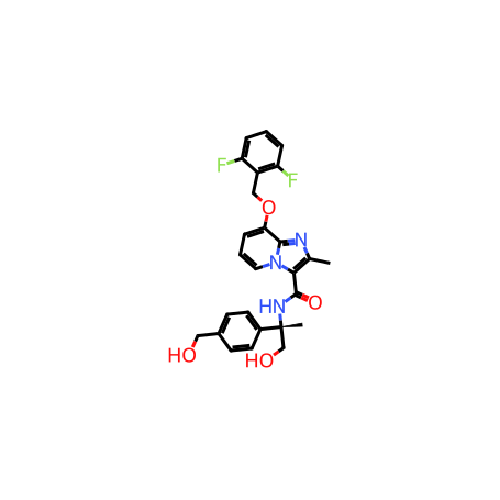 Cc1nc2c(OCc3c(F)cccc3F)cccn2c1C(=O)N[C@](C)(CO)c1ccc(CO)cc1